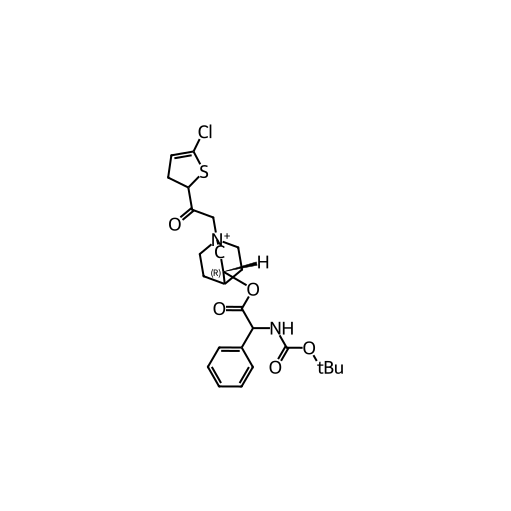 CC(C)(C)OC(=O)NC(C(=O)O[C@H]1C[N+]2(CC(=O)C3CC=C(Cl)S3)CCC1CC2)c1ccccc1